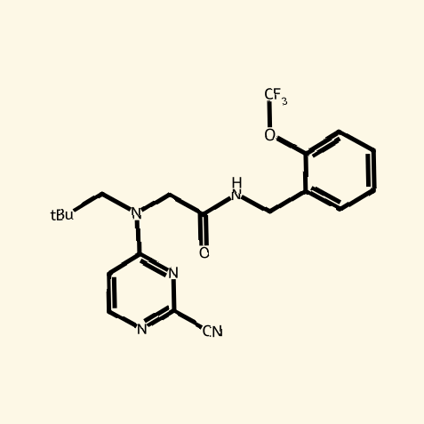 CC(C)(C)CN(CC(=O)NCc1ccccc1OC(F)(F)F)c1ccnc(C#N)n1